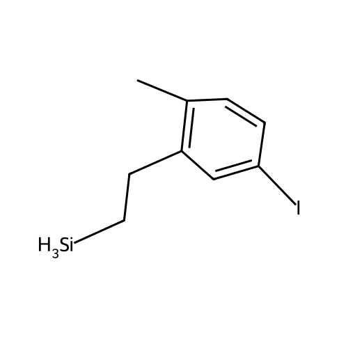 Cc1ccc(I)cc1CC[SiH3]